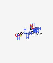 COc1cc(N2CCC(NCCNCCc3ccc(C4CCC(=O)NC4=O)c(F)c3)CC2)c(C)cc1Nc1nc(Nc2cccc3c2N(S(C)(=O)=O)CC3)c2cc[nH]c2n1